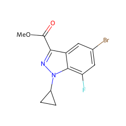 COC(=O)c1nn(C2CC2)c2c(F)cc(Br)cc12